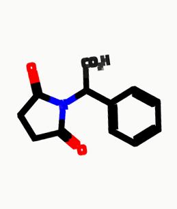 O=C(O)C(c1ccccc1)N1C(=O)CCC1=O